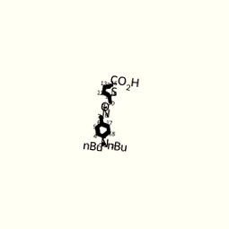 CCCCN(CCCC)c1ccc(C=NOCc2ccc(C(=O)O)s2)cc1